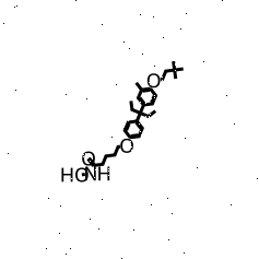 CCC(CC)(c1ccc(OCCCCC(=O)NO)cc1)c1ccc(OCCC(C)(C)C)c(C)c1